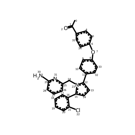 CC(=O)c1ccc(Oc2ccc(-c3ccc(-c4ccccc4Cl)n3Cc3cccc(N)n3)cc2)cc1